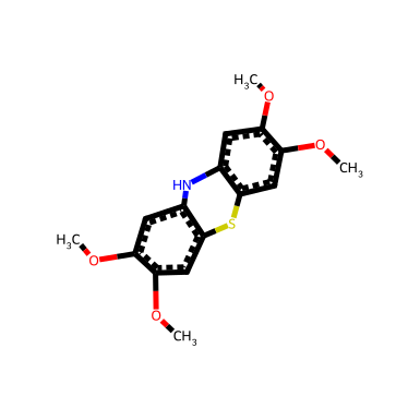 COc1cc2c(cc1OC)Sc1cc(OC)c(OC)cc1N2